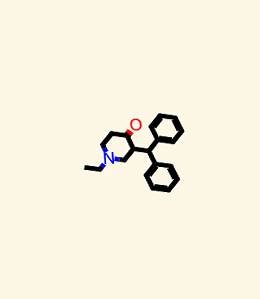 CCN1CCC(=O)C(C(c2ccccc2)c2ccccc2)C1